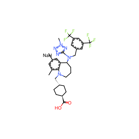 Cc1cc(C)c2c(c1)[C@@H](N(Cc1cc(C(F)(F)F)cc(C(F)(F)F)c1)c1nnn(C)n1)CCCN2C[C@H]1CC[C@H](C(=O)O)CC1.[NaH]